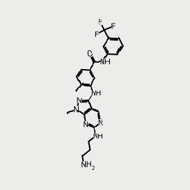 Cc1ccc(C(=O)Nc2cccc(C(F)(F)F)c2)cc1Nc1nn(C)c2nc(NCCCN)ncc12